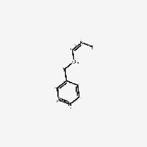 C/N=C\OCc1ccncc1